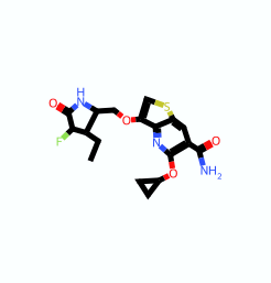 CCC1C(COc2csc3cc(C(N)=O)c(OC4CC4)nc23)NC(=O)C1F